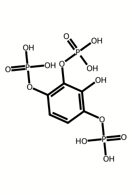 O=P(O)(O)Oc1ccc(OP(=O)(O)O)c(OP(=O)(O)O)c1O